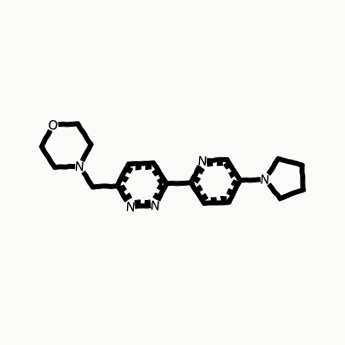 c1cc(-c2ccc(CN3CCOCC3)nn2)ncc1N1CCCC1